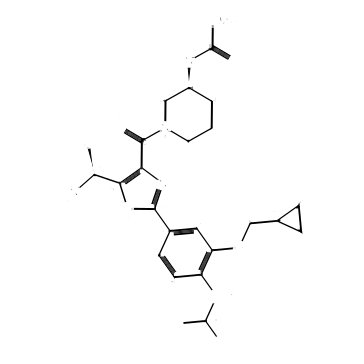 COC(=O)N[C@H]1CCCN(C(=O)c2nc(-c3ccc(OC(F)F)c(OCC4CC4)c3)oc2[C@H](C)N)C1